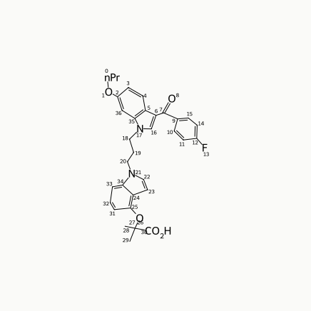 CCCOc1ccc2c(C(=O)c3ccc(F)cc3)cn(CCCn3ccc4c(OC(C)(C)C(=O)O)cccc43)c2c1